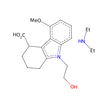 CCNCC.COc1cccc2c1c1c(n2CCO)CCCC1C(=O)O